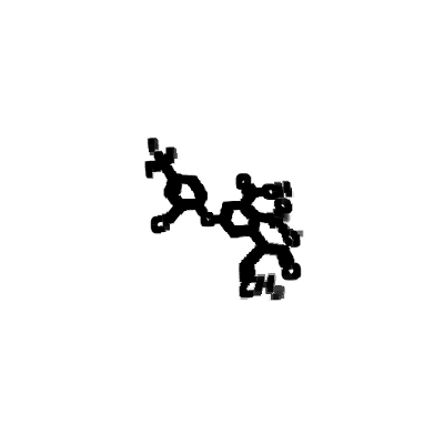 C=CC(C=O)c1cc(Oc2ccc(C(F)(F)F)cc2Cl)cc(C(=O)O)c1[N+](=O)[O-]